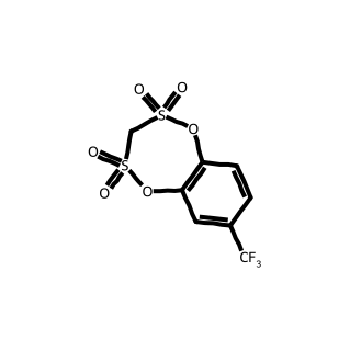 O=S1(=O)CS(=O)(=O)Oc2cc(C(F)(F)F)ccc2O1